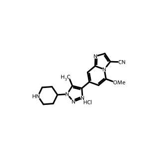 COc1cc(-c2nnn(C3CCNCC3)c2C)cc2ncc(C#N)n12.Cl